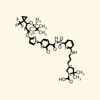 CC1(C)C[C@H](CCCNc2cccc(S(=O)(=O)NC(=O)c3ccc(-n4ccc(OCCC(O[Si](C)(C)C(C)(C)C)C5(C(F)(F)F)CC5)n4)nc3Cl)n2)CN1C(=O)O